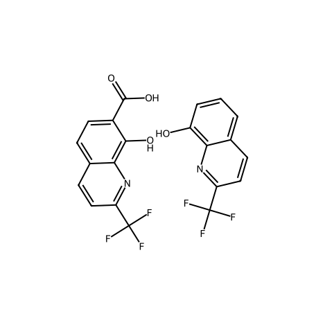 O=C(O)c1ccc2ccc(C(F)(F)F)nc2c1O.Oc1cccc2ccc(C(F)(F)F)nc12